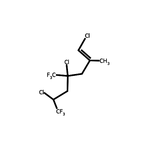 CC(=CCl)CC(Cl)(CC(Cl)C(F)(F)F)C(F)(F)F